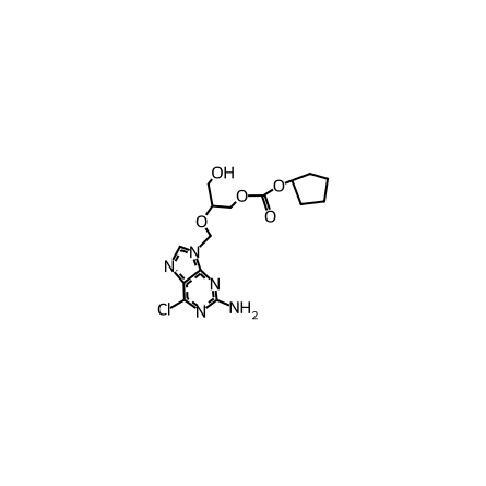 Nc1nc(Cl)c2ncn(COC(CO)COC(=O)OC3CCCC3)c2n1